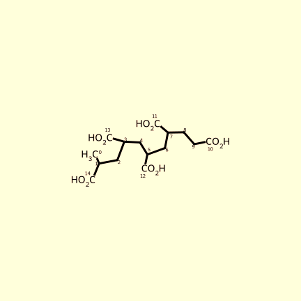 CC(CC(CC(CC(CCC(=O)O)C(=O)O)C(=O)O)C(=O)O)C(=O)O